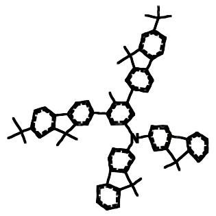 Cc1c(-c2ccc3c(c2)C(C)(C)c2cc(C(C)(C)C)ccc2-3)cc(N(c2ccc3c(c2)C(C)(C)c2ccccc2-3)c2ccc3c(c2)C(C)(C)c2ccccc2-3)cc1-c1ccc2c(c1)C(C)(C)c1cc(C(C)(C)C)ccc1-2